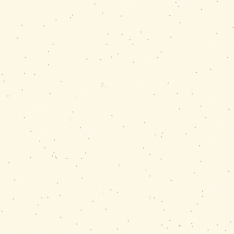 CC1=C(C)C(=O)C(CCC(C)(O)C(=O)NCc2ccccc2)=C(C)C1=O